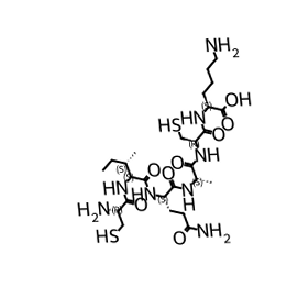 CC[C@H](C)[C@H](NC(=O)[C@@H](N)CS)C(=O)N[C@@H](CCC(N)=O)C(=O)N[C@@H](C)C(=O)N[C@@H](CS)C(=O)N[C@@H](CCCCN)C(=O)O